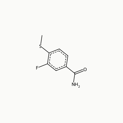 CSc1ccc(C(N)=O)cc1F